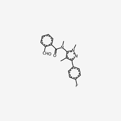 Cc1c(-c2ccc(F)cc2)nn(C)c1N(C)C(=O)c1ccccc1C=O